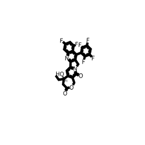 CC[C@@]1(O)CC(=O)OCc2c1cc1n(c2=O)Cc2c-1nc1cc(F)cc(F)c1c2-c1c(F)c(F)cc(F)c1F